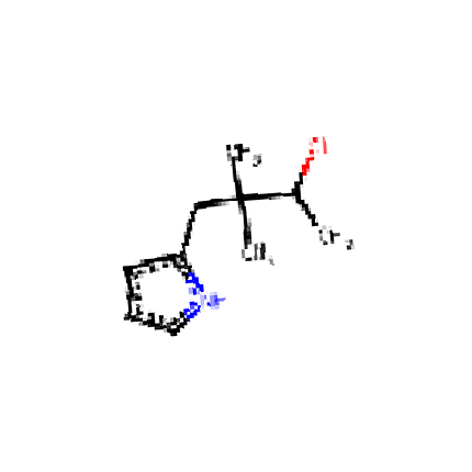 CC(O)C(C)(C)Cc1ccc[nH]1